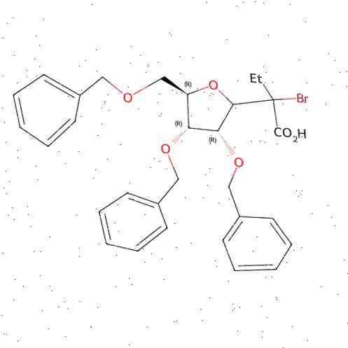 CCC(Br)(C(=O)O)C1O[C@H](COCc2ccccc2)[C@@H](OCc2ccccc2)[C@H]1OCc1ccccc1